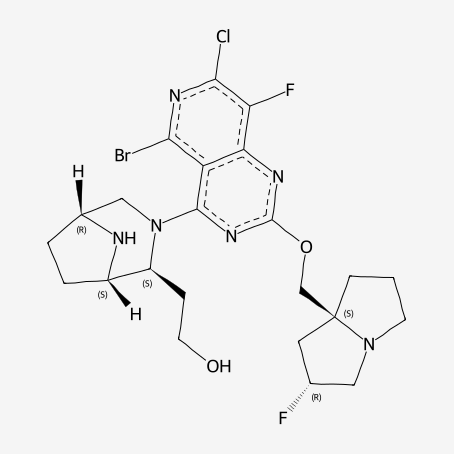 OCC[C@H]1[C@@H]2CC[C@H](CN1c1nc(OC[C@@]34CCCN3C[C@H](F)C4)nc3c(F)c(Cl)nc(Br)c13)N2